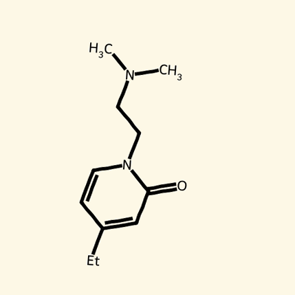 CCc1ccn(CCN(C)C)c(=O)c1